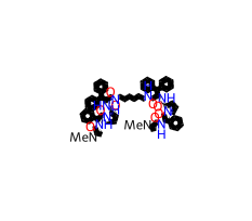 CN[C@@H](C)C(=O)N[C@H](C(=O)N1CCC[C@H]1C(=O)N[C@H](C(=O)NCCCCCCNC(=O)[C@@H](NC(=O)[C@@H]1CCCN1C(=O)[C@@H](NC(=O)[C@@H](C)NC)C1CCCCC1)C(c1ccccc1)c1ccccc1)C(c1ccccc1)c1ccccc1)C1CCCCC1